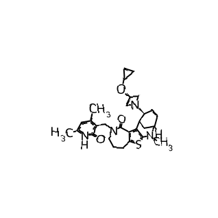 Cc1cc(C)c(CN2CCCc3sc4c(c3C2=O)C2C[C@H](CC[C@@H]2N2CC(OC3CC3)C2)N4C)c(=O)[nH]1